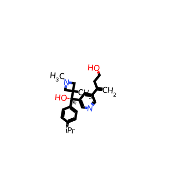 C=C(CCO)c1cncc([C@@](O)(c2ccc(C(C)C)cc2)C2(C)CN(C)C2)c1